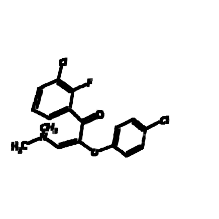 CN(C)/C=C(/Oc1ccc(Cl)cc1)C(=O)c1cccc(Cl)c1F